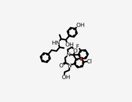 CC(CCc1ccccc1)NC(C)C(O)c1ccc(O)cc1.O=C1CN2CCOC2(c2ccccc2F)c2cc(Cl)ccc2N1CCO